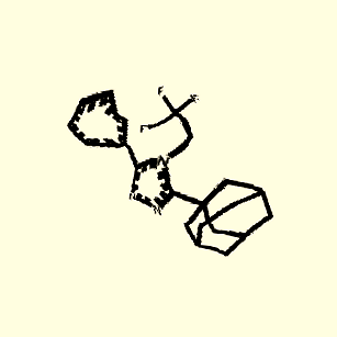 FC(F)(F)Cn1c(-c2ccccc2)nnc1C12CC3CC(CC(C3)C1)C2